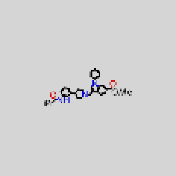 COC(=O)c1ccc2c(CN3CCC(c4cccc(NC(=O)C(C)C)c4)CC3)cn(-c3ccccc3)c2c1